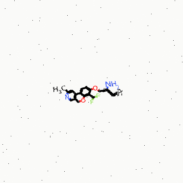 Cc1cc2c(cn1)COc1c-2ccc(OC[C@@H](N)CC(C)C)c1C(F)F